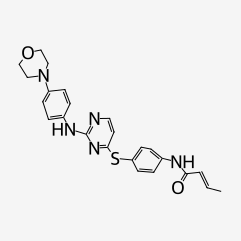 CC=CC(=O)Nc1ccc(Sc2ccnc(Nc3ccc(N4CCOCC4)cc3)n2)cc1